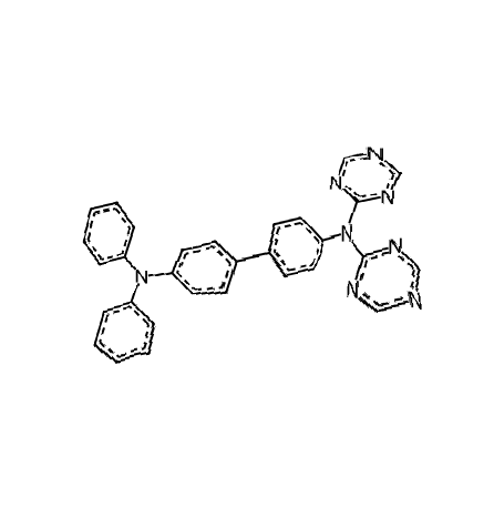 c1ccc(N(c2ccccc2)c2ccc(-c3ccc(N(c4ncncn4)c4ncncn4)cc3)cc2)cc1